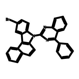 Brc1ccc2c(c1)c1c3ccccc3ccc1n2-c1nc(-c2ccccc2)c2ccccc2n1